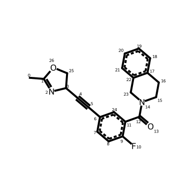 CC1=NC(C#Cc2ccc(F)c(C(=O)N3CCc4ccccc4C3)c2)CO1